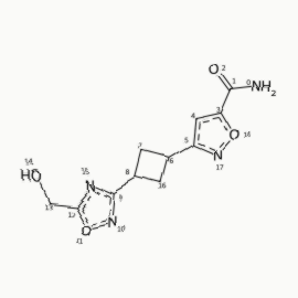 NC(=O)c1cc(C2CC(c3noc(CO)n3)C2)no1